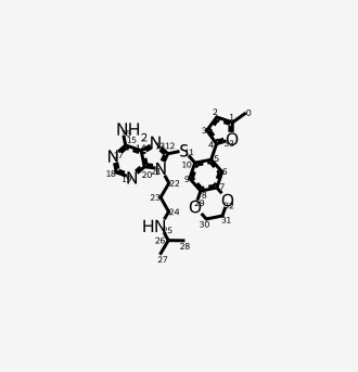 Cc1ccc(-c2cc3c(cc2Sc2nc4c(N)ncnc4n2CCCNC(C)C)OCCO3)o1